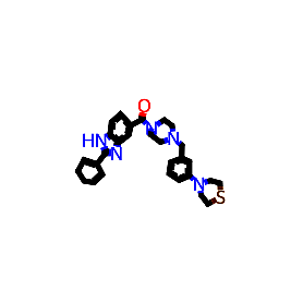 O=C(c1ccc2[nH]c(C3=CCCC=C3)nc2c1)N1CCN(Cc2cccc(N3CCSCC3)c2)CC1